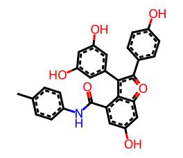 Cc1ccc(NC(=O)c2cc(O)cc3oc(-c4ccc(O)cc4)c(-c4cc(O)cc(O)c4)c23)cc1